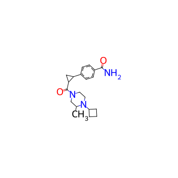 CC1CN(C(=O)C2CC2c2ccc(C(N)=O)cc2)CCN1C1CCC1